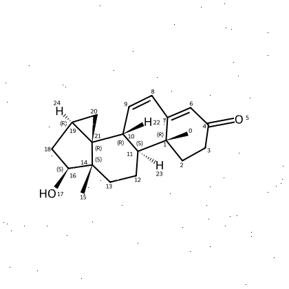 C[C@]12CCC(=O)C=C1C=C[C@@H]1[C@@H]2CC[C@]2(C)[C@@H](O)C[C@H]3C[C@@]312